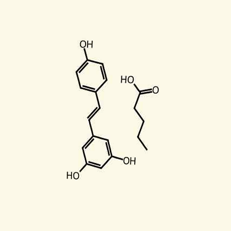 CCCCC(=O)O.Oc1ccc(C=Cc2cc(O)cc(O)c2)cc1